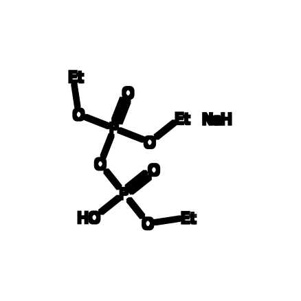 CCOP(=O)(O)OP(=O)(OCC)OCC.[NaH]